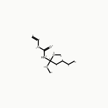 C=COC(=O)NC(CCCC)(OC)OC